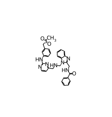 CS(=O)(=O)Cc1cccc(Nc2nccc(CNCn3c(CNC(=O)c4ccccc4)nc4ccccc43)n2)c1